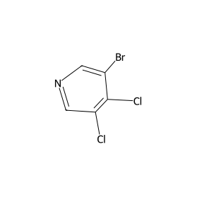 Clc1cncc(Br)c1Cl